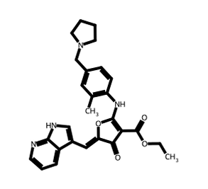 CCOC(=O)C1=C(Nc2ccc(CN3CCCC3)cc2C)OC(=Cc2c[nH]c3ncccc23)C1=O